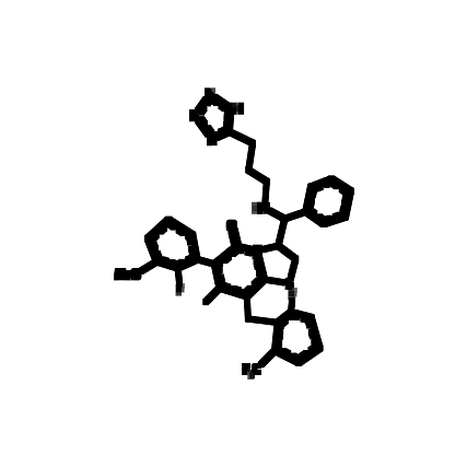 COc1cccc(-c2c(C)c(Cc3c(F)cccc3C(F)(F)F)c3n(c2=O)C(C(NCCCc2nnn[nH]2)c2ccccc2)CS3)c1F